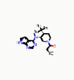 [2H]C([2H])([2H])[C@@H]1CCN(C(=O)C[N+]#[C-])C[C@@H]1N(C)c1ncnc2[nH]ccc12